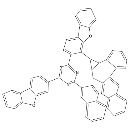 c1ccc2c(c1)-c1cc3ccccc3cc1CC1C2C1c1c(-c2nc(-c3ccc4ccccc4c3)nc(-c3ccc4c(c3)oc3ccccc34)n2)ccc2c1oc1ccccc12